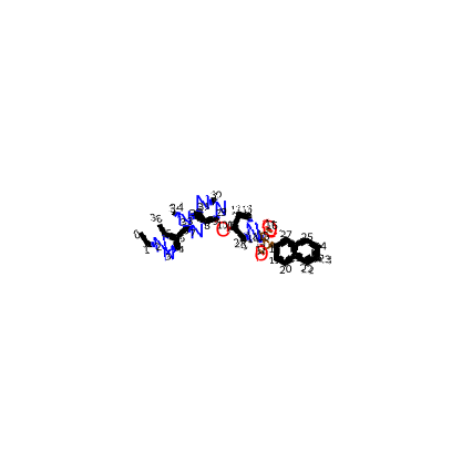 CCn1ncc(-c2nc3c(O[C@H]4CCN(S(=O)(=O)c5ccc6ccccc6c5)C4)ncnc3n2C)c1C